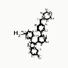 Cc1cccc(-c2nc3ccc(Cl)cn3c2-c2ccnc(-c3ccc(CN4CCOCC4)cc3)c2)n1